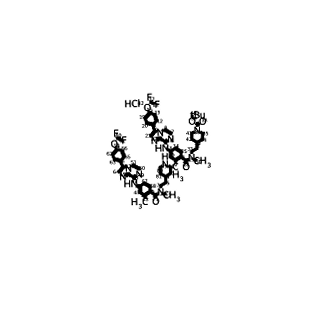 Cc1cc(Nc2nccn3c(-c4ccc(OC(F)F)cc4)cnc23)ccc1C(=O)N(C)CCC1CCN(C(=O)OC(C)(C)C)CC1.Cc1cc(Nc2nccn3c(-c4ccc(OC(F)F)cc4)cnc23)ccc1C(=O)N(C)CCC1CCNCC1.Cl